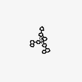 c1ccc(-c2ccc3oc4c(N(c5ccc(-c6cccc7ccccc67)cc5)c5ccc(-c6cccc7ccccc67)cc5)cccc4c3c2)cc1